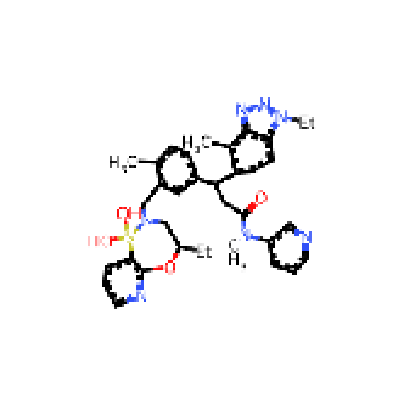 CCC1CN(Cc2cc(C(CC(=O)N(C)c3cccnc3)c3ccc4c(nnn4CC)c3C)ccc2C)S(O)(O)c2cccnc2O1